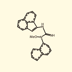 CON(C(=N)NC1=Cc2cccc3cccc1c23)c1cccc2ccccc12